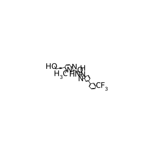 Cc1c(C#CCO)ccc2nc(C(=O)Nc3nc4cc(-c5cccc(C(F)(F)F)c5)ccc4[nH]3)cn12